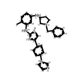 Cc1ccc(NC2CCN(Cc3ccccc3)C2)cc1Nc1nc(-c2ccc(-n3ccnc3)cc2)cs1